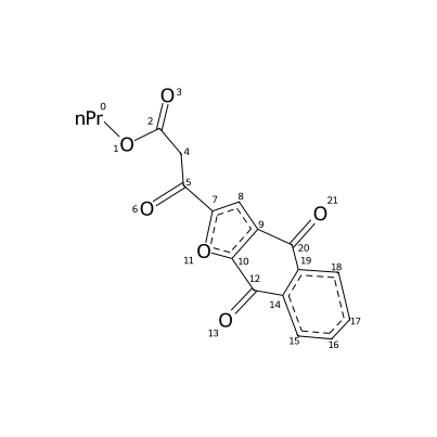 CCCOC(=O)CC(=O)c1cc2c(o1)C(=O)c1ccccc1C2=O